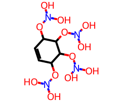 ON(O)OC1C=CC(ON(O)O)C(ON(O)O)C1ON(O)O